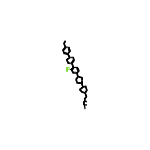 CCCCCC1CCC(C2CCC(c3ccc(C4=CCC(c5ccc(CC)cc5)CC4)c(F)c3)CC2)CC1